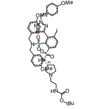 COc1ccc(CN(Cc2ccc(OC)cc2)S(=O)(=O)c2c(S(=O)(=O)N[C@@H]3CCN(CCNC(=O)OC(C)(C)C)C3)ccc(I)c2-c2nnn(Cc3ccc(OC)cc3)n2)cc1